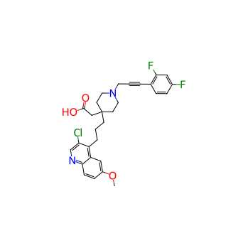 COc1ccc2ncc(Cl)c(CCCC3(CC(=O)O)CCN(CC#Cc4ccc(F)cc4F)CC3)c2c1